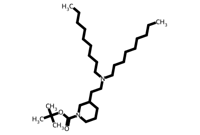 CCCCCCCCCN(CCCCCCCCC)CCC1CCCN(C(=O)OC(C)(C)C)C1